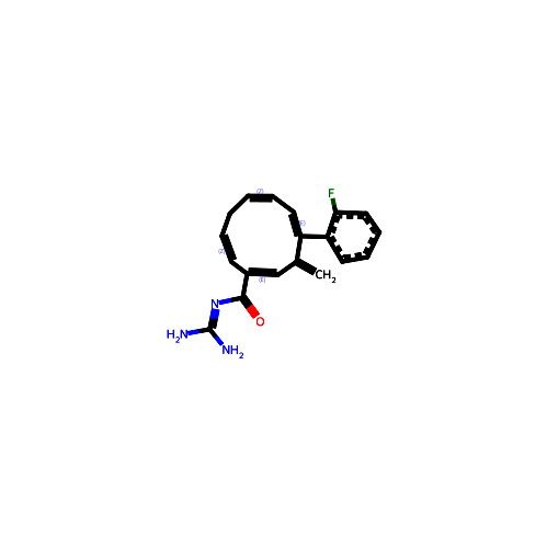 C=C1/C=C(C(=O)N=C(N)N)\C=C/C/C=C\C=C/1c1ccccc1F